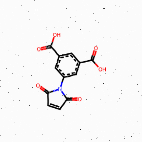 O=C(O)c1cc(C(=O)O)cc(N2C(=O)C=CC2=O)c1